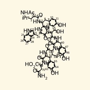 CC(=O)N[C@@H](CC(C)C)C(=O)N[C@@H](Cc1ccc(O)cc1)C(=O)N[C@@H](Cc1c[nH]c2ccccc12)C(=O)N[C@@H](CO)C(=O)N[C@@H](Cc1ccc(O)cc1)C(=O)N[C@@H](CC(C)C)C(=O)N[C@@H](Cc1ccc(O)cc1)C(=O)N[C@@H](CC(N)=O)C(=O)O